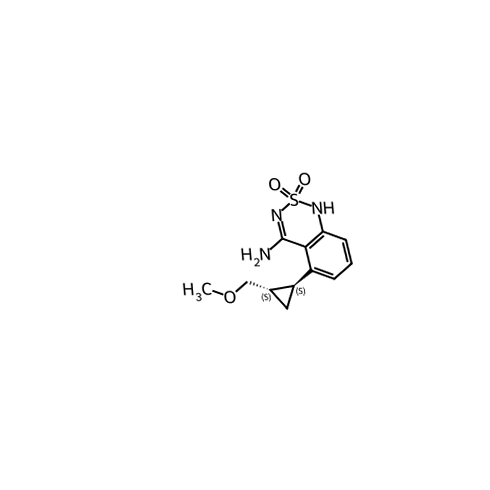 COC[C@H]1C[C@@H]1c1cccc2c1C(N)=NS(=O)(=O)N2